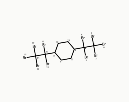 BrC(Br)(Br)C(Br)(Br)C1[CH]CC(C(Br)(Br)C(Br)(Br)Br)[CH]C1